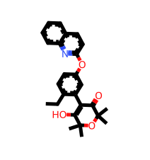 CCc1ccc(Oc2ccc3ccccc3n2)cc1C1=C(O)C(C)(C)OC(C)(C)C1=O